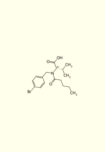 CCCCC(=O)N(Cc1ccc(Br)cc1)[C@H](C(=O)O)C(C)C